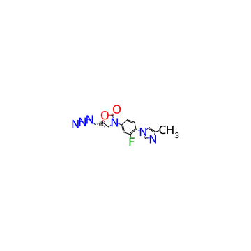 Cc1cn(-c2ccc(N3C[C@H](CN=[N+]=[N-])OC3=O)cc2F)cn1